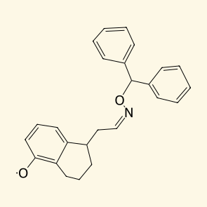 [O]c1cccc2c1CCCC2C/C=N\OC(c1ccccc1)c1ccccc1